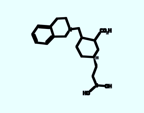 O=C(O)C1C[C@H](CCB(O)O)CCC1CN1CCc2ccccc2C1